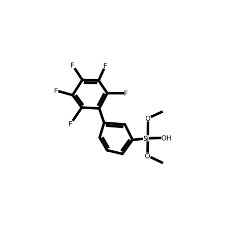 CO[Si](O)(OC)c1cccc(-c2c(F)c(F)c(F)c(F)c2F)c1